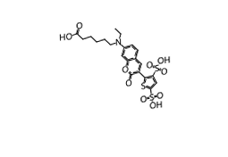 CCN(CCCCCC(=O)O)c1ccc2cc(-c3sc(S(=O)(=O)O)cc3S(=O)(=O)O)c(=O)oc2c1